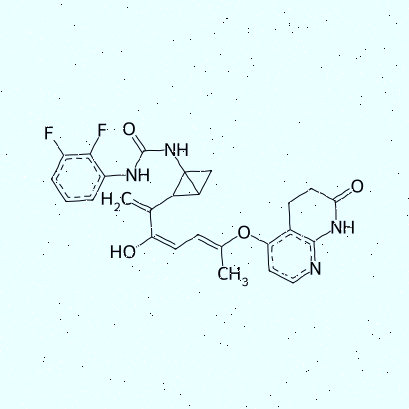 C=C(/C(O)=C\C=C(/C)Oc1ccnc2c1CCC(=O)N2)C1C2CC21NC(=O)Nc1cccc(F)c1F